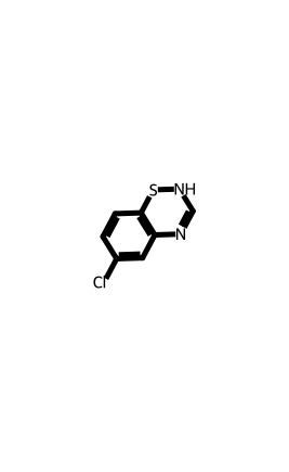 Clc1ccc2c(c1)N=CNS2